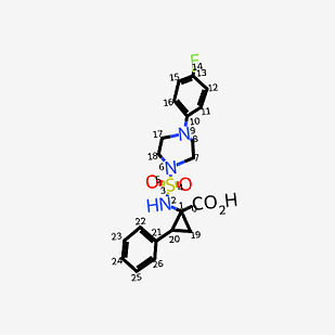 O=C(O)C1(NS(=O)(=O)N2CCN(c3ccc(F)cc3)CC2)CC1c1ccccc1